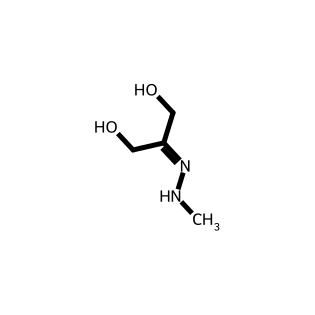 CNN=C(CO)CO